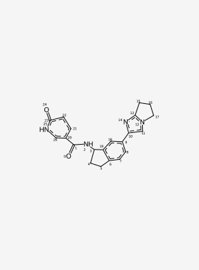 O=C(NC1CCc2ccc(-c3cn4c(n3)CCC4)cc21)c1ccc(=O)[nH]c1